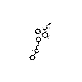 N#CCNC(=O)[C@@H]1CC(F)(F)CC[C@H]1c1ccccc1-c1ccc(SCc2ncc(-c3ccccc3)[nH]2)cc1